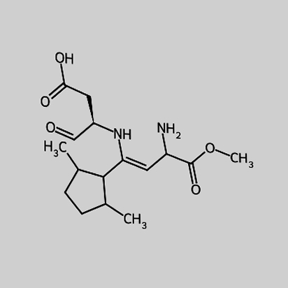 COC(=O)C(N)C=C(N[C@@H](C=O)CC(=O)O)C1C(C)CCC1C